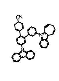 N#CC1C=CC(c2ccc(-n3c4ccccc4c4ccccc43)cc2-c2cccc(-n3c4c(c5ccccc53)C=CCC#C4)c2)=CC1